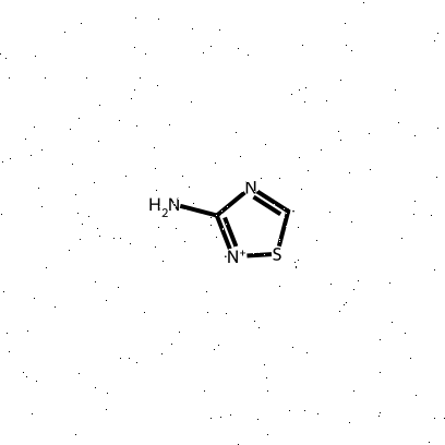 NC1=[N+]S[C]=N1